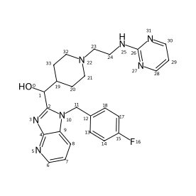 OC(c1nc2ncccc2n1Cc1ccc(F)cc1)C1CCN(CCNc2ncccn2)CC1